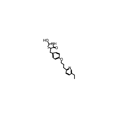 CCc1ccc(CCCOc2ccc(CC3SC(O)NC3=O)cc2)nc1